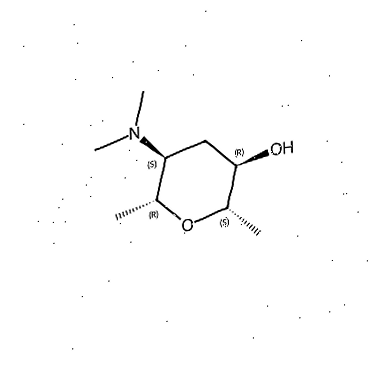 C[C@@H]1O[C@H](C)[C@@H](N(C)C)C[C@H]1O